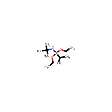 CCO[Si](NC(C)(C)C)(OCC)C(C)C